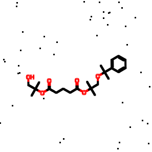 CC(C)(CO)OC(=O)CCCC(=O)OC(C)(C)COC(C)(C)c1ccccc1